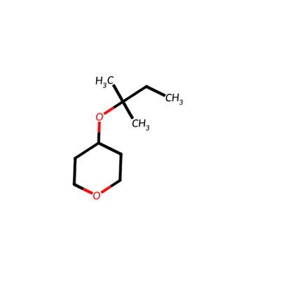 CCC(C)(C)OC1CCOCC1